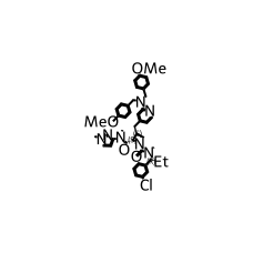 CC[C@H](c1cccc(Cl)c1)N(C)C(=O)N1C[C@H](Cc2ccnc(N(Cc3ccc(OC)cc3)Cc3ccc(OC)cc3)c2)[C@H]1C(=O)N(C)c1ccn(C)n1